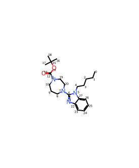 CCCCCn1c(N2CCCN(C(=O)OC(C)(C)C)CC2)nc2ccccc21